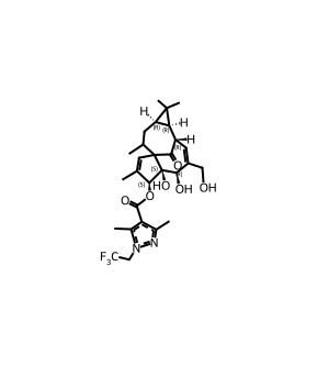 CC1=CC23C(=O)[C@@H](C=C(CO)[C@@H](O)[C@]2(O)[C@H]1OC(=O)c1c(C)nn(CC(F)(F)F)c1C)[C@H]1[C@@H](CC3C)C1(C)C